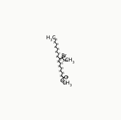 CCCCCCCCCC(CCCCCCCC(=O)OC)C(Br)CC